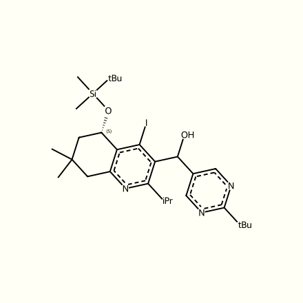 CC(C)c1nc2c(c(I)c1C(O)c1cnc(C(C)(C)C)nc1)[C@@H](O[Si](C)(C)C(C)(C)C)CC(C)(C)C2